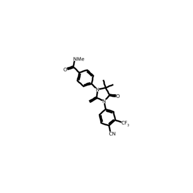 C=C1N(c2ccc(C#N)c(C(F)(F)F)c2)C(=O)C(C)(C)N1c1ccc(C(=O)NC)cc1